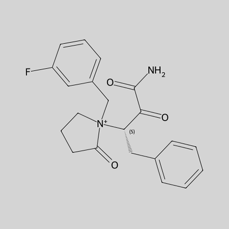 NC(=O)C(=O)[C@H](Cc1ccccc1)[N+]1(Cc2cccc(F)c2)CCCC1=O